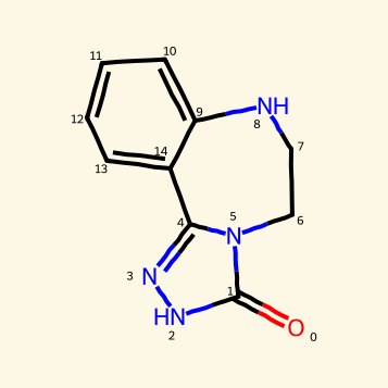 O=c1[nH]nc2n1CCNc1ccccc1-2